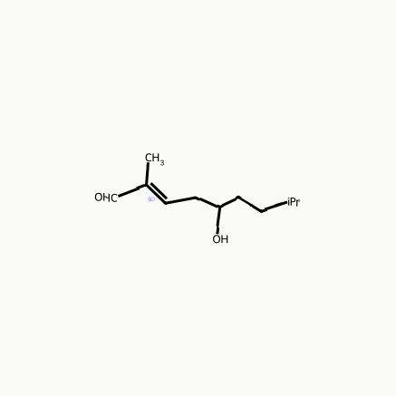 C/C(C=O)=C\CC(O)CCC(C)C